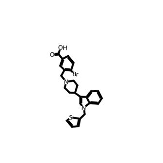 O=C(O)c1ccc(Br)c(CN2CCC(c3cn(Cc4cccs4)c4ccccc34)CC2)c1